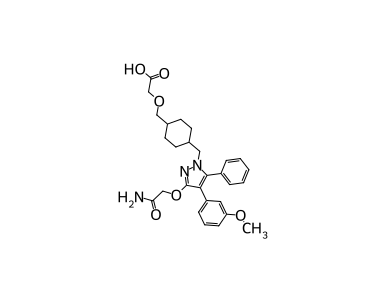 COc1cccc(-c2c(OCC(N)=O)nn(CC3CCC(COCC(=O)O)CC3)c2-c2ccccc2)c1